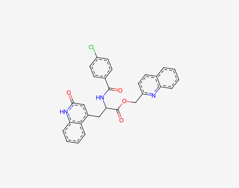 O=C(NC(Cc1cc(=O)[nH]c2ccccc12)C(=O)OCc1ccc2ccccc2n1)c1ccc(Cl)cc1